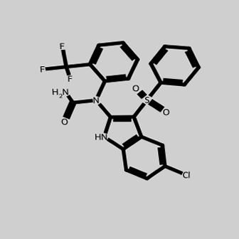 NC(=O)N(c1ccccc1C(F)(F)F)c1[nH]c2ccc(Cl)cc2c1S(=O)(=O)c1ccccc1